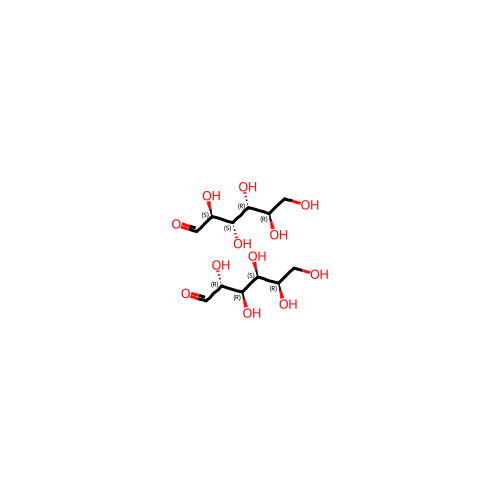 O=C[C@@H](O)[C@@H](O)[C@H](O)[C@H](O)CO.O=C[C@H](O)[C@H](O)[C@@H](O)[C@H](O)CO